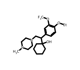 CCOc1ccc(C(CN2CCN(C)CC2)C2(O)CCCCC2)cc1OC(F)(F)F